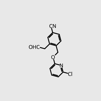 N#Cc1ccc(COc2cccc(Cl)n2)c(CC=O)c1